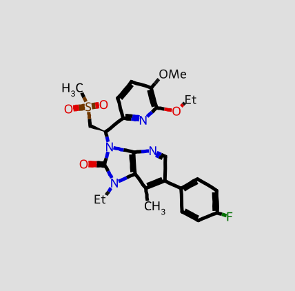 CCOc1nc([C@H](CS(C)(=O)=O)n2c(=O)n(CC)c3c(C)c(-c4ccc(F)cc4)cnc32)ccc1OC